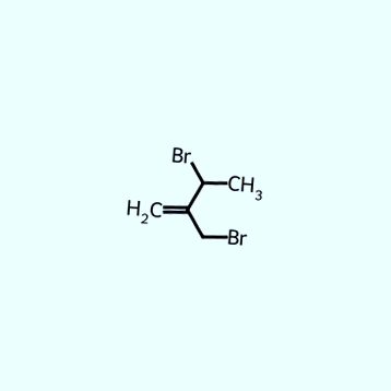 C=C(CBr)C(C)Br